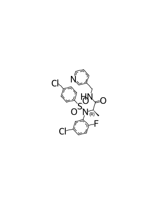 C[C@H](C(=O)NCc1cccnc1)N(c1cc(Cl)ccc1F)S(=O)(=O)c1ccc(Cl)cc1